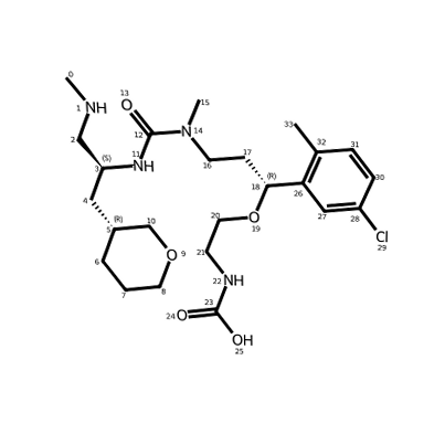 CNC[C@H](C[C@H]1CCCOC1)NC(=O)N(C)CC[C@@H](OCCNC(=O)O)c1cc(Cl)ccc1C